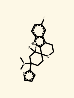 CN(C)C1(c2cccs2)CCC2(OCCc3c2[nH]c2ccc(F)cc32)C(F)(F)C1